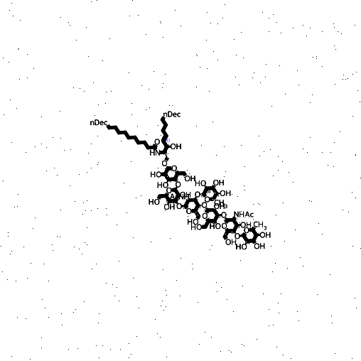 CCCCCCCCCCCCC/C=C/[C@@H](O)[C@H](CO[C@@H]1OC(CO)[C@@H](O[C@@H]2OC(CO)[C@H](O)[C@H](O[C@@H]3OC(CO)[C@@H](O[C@@H]4OC(CO)[C@H](O)[C@H](O[C@@H]5OC(CO)[C@@H](O[C@H]6OC(C)[C@@H](O)C(O)[C@@H]6O)[C@H](O)C5NC(C)=O)C4O)[C@H](O[C@H]4OC(C)[C@@H](O)C(O)[C@@H]4O)C3NC(C)=O)C2O)[C@H](O)C1O)NC(=O)CCCCCCCCCCCCCCCCCCC